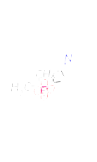 CCOP(=O)(OCC)Oc1ccc(C#N)cc1